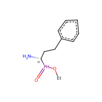 CCO[PH](=O)[C@H](N)CCc1ccccc1